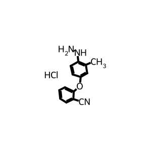 Cc1cc(Oc2ccccc2C#N)ccc1NN.Cl